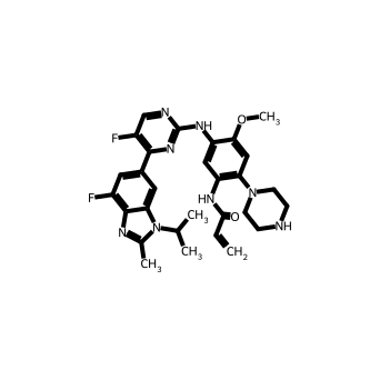 C=CC(=O)Nc1cc(Nc2ncc(F)c(-c3cc(F)c4nc(C)n(C(C)C)c4c3)n2)c(OC)cc1N1CCNCC1